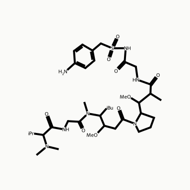 CCC(C)C(C(CC(=O)N1CCCC1C(OC)C(C)C(=O)NCC(=O)NS(=O)(=O)Cc1ccc(N)cc1)OC)N(C)C(=O)CNC(=O)C(C(C)C)N(C)C